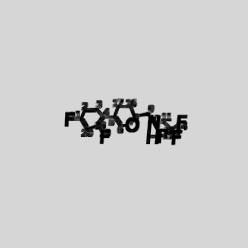 Fc1ccc(C2=CO[C@H](CNCC(F)(F)F)CC2)c(F)c1